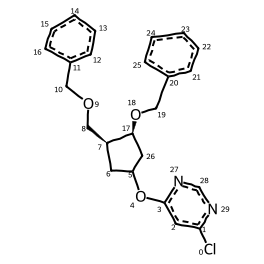 Clc1cc(OC2C[C@@H](COCc3ccccc3)[C@@H](OCc3ccccc3)C2)ncn1